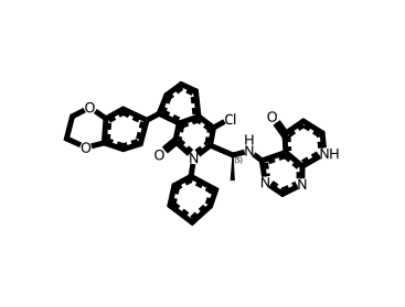 C[C@H](Nc1ncnc2[nH]ccc(=O)c12)c1c(Cl)c2cccc(-c3ccc4c(c3)OCCO4)c2c(=O)n1-c1ccccc1